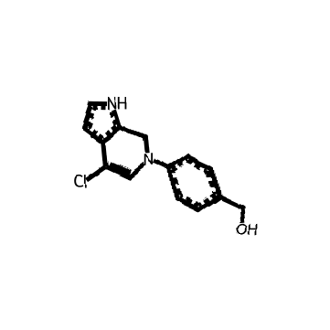 OCc1ccc(N2C=C(Cl)c3cc[nH]c3C2)cc1